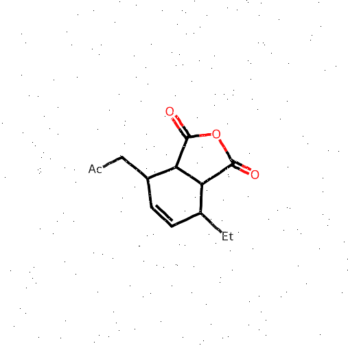 CCC1C=CC(CC(C)=O)C2C(=O)OC(=O)C12